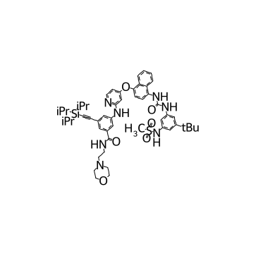 CC(C)[Si](C#Cc1cc(Nc2cc(Oc3ccc(NC(=O)Nc4cc(NS(C)(=O)=O)cc(C(C)(C)C)c4)c4ccccc34)ccn2)cc(C(=O)NCCN2CCOCC2)c1)(C(C)C)C(C)C